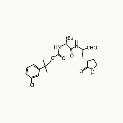 CC(C)(COC(=O)NC(C(=O)NC(C=O)C[C@@H]1CCNC1=O)C(C)(C)C)c1cccc(Cl)c1